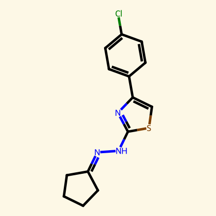 Clc1ccc(-c2csc(NN=C3CCCC3)n2)cc1